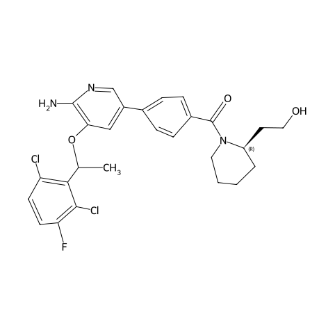 CC(Oc1cc(-c2ccc(C(=O)N3CCCC[C@@H]3CCO)cc2)cnc1N)c1c(Cl)ccc(F)c1Cl